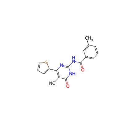 Cc1cccc(C(=O)Nc2nc(-c3cccs3)c(C#N)c(=O)[nH]2)c1